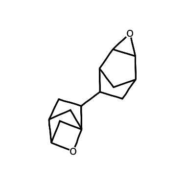 C1C2CC(C3CC4CC35CC4O5)C1C1OC21